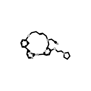 N#CCN1C/C=C/CCOc2cccc(c2)-c2ccnc(n2)Nc2ccc(OCCN3CCCC3)c(c2)C1